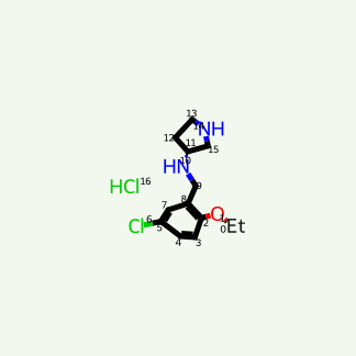 CCOc1ccc(Cl)cc1CN[C@@H]1CCNC1.Cl